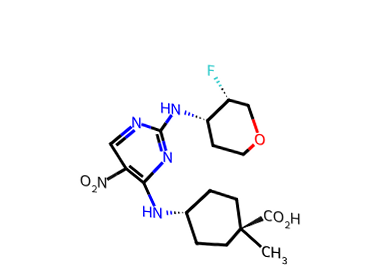 C[C@]1(C(=O)O)CC[C@H](Nc2nc(N[C@H]3CCOC[C@H]3F)ncc2[N+](=O)[O-])CC1